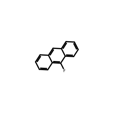 Fc1c2ccccc2cc2ccccc12